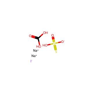 O=C(O)O.O=S([O-])(O)=S.[I-].[Na+].[Na+]